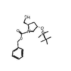 CC(C)(C)[Si](C)(C)O[C@H]1C[C@H](CO)N(C(=O)OCc2ccccc2)C1